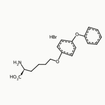 Br.N[C@@H](CCCCOc1ccc(Oc2ccccc2)cc1)C(=O)O